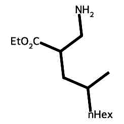 CCCCCCC(C)CC(CN)C(=O)OCC